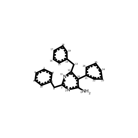 Nc1nc(Cc2ccccc2)nc(Cc2ccccc2)c1-c1ccccc1